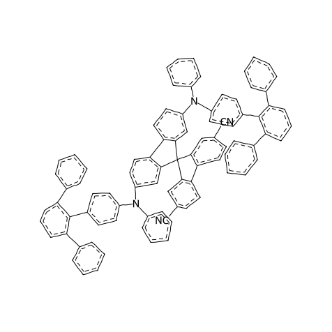 N#Cc1ccc2c(c1)C1(c3cc(C#N)ccc3-2)c2cc(N(c3ccccc3)c3ccc(-c4c(-c5ccccc5)cccc4-c4ccccc4)cc3)ccc2-c2ccc(N(c3ccccc3)c3ccc(-c4c(-c5ccccc5)cccc4-c4ccccc4)cc3)cc21